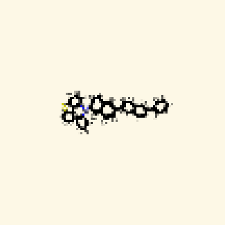 c1ccc(-c2ccc3cc(-c4ccc5cc(N(c6ccccc6)c6cccc7sc8ccccc8c67)ccc5c4)ccc3c2)cc1